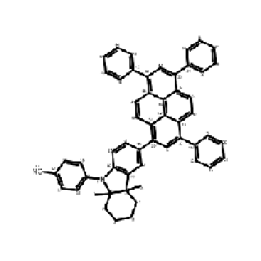 CC12CCCCC1(C)N(c1ccc(C#N)cc1)c1ccc(-c3cc(-c4ccccc4)c4ccc5c(-c6ccccc6)cc(-c6ccccc6)c6ccc3c4c56)cc12